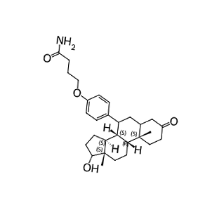 C[C@]12CCC(=O)CC1CC(c1ccc(OCCCC(N)=O)cc1)[C@@H]1[C@H]2CC[C@]2(C)C(O)CC[C@@H]12